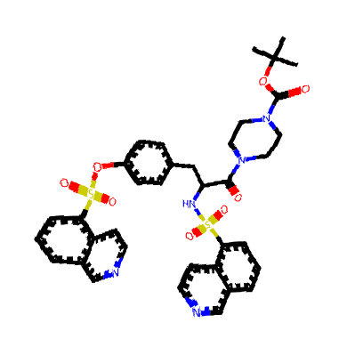 CC(C)(C)OC(=O)N1CCN(C(=O)C(Cc2ccc(OS(=O)(=O)c3cccc4cnccc34)cc2)NS(=O)(=O)c2cccc3cnccc23)CC1